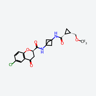 O=C1C[C@H](C(=O)NC23CC(NC(=O)[C@@H]4C[C@@H]4COC(F)(F)F)(C2)C3)Oc2ccc(Cl)cc21